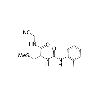 CSCC(NC(=O)Nc1ccccc1C)C(=O)NCC#N